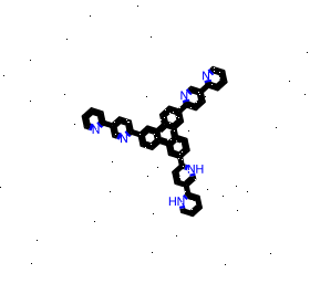 C1=CCNC(C2=CNC(c3ccc4c5cc(-c6ccc(-c7ccccn7)cn6)ccc5c5cc(-c6ccc(-c7ccccn7)cn6)ccc5c4c3)C=C2)=C1